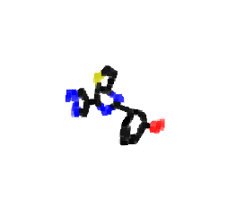 Oc1cccc(-c2nc(-c3cn[nH]c3)c3sccc3n2)c1